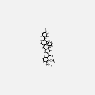 Cc1c(N)cccc1C(=O)N1CC(CN2CCC(c3ccc(F)cc3)CC2)C(c2ccsc2)C1